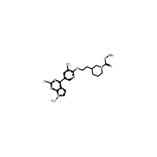 Cn1ccc2c(-c3cnc(OCCC4CCCN(C(=O)OC(C)(C)C)C4)c(C(F)(F)F)c3)nc(Cl)nc21